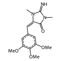 COc1cc(/C=C2\C(=O)N(C)C(=N)N2C)cc(OC)c1OC